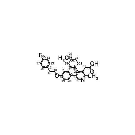 Cc1ncc(-c2ccc(OCCc3ccc(F)cc3)cc2)c(N2CCC(C)(I)CC2)c1CC(=O)O